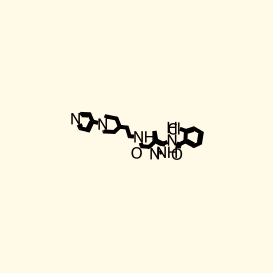 Cc1c(C(=O)NCCC2CCN(c3ccncc3)CC2)n[nH]c1NC(=O)c1ccccc1Cl